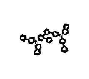 C1=CC(N(c2ccc(-c3ccccc3)cc2)c2ccc3ccccc3c2)CC=C1c1cccc(-c2ccc(N(c3ccc(-c4ccccc4)cc3)c3ccc4ccccc4c3)cc2-c2ccccc2)c1